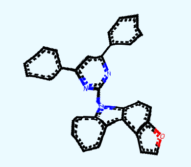 c1ccc(-c2cc(-c3ccccc3)nc(-n3c4ccccc4c4c5ccoc5ccc43)n2)cc1